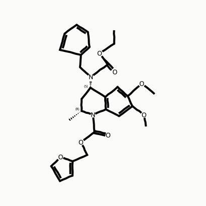 CCOC(=O)N(Cc1ccccc1)[C@H]1C[C@@H](C)N(C(=O)OCc2ccco2)c2cc(OC)c(OC)cc21